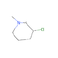 CN1[CH]C(Cl)CCC1